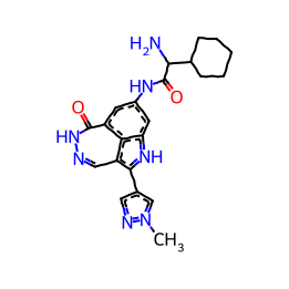 Cn1cc(-c2[nH]c3cc(NC(=O)C(N)C4CCCCC4)cc4c3c2C=NNC4=O)cn1